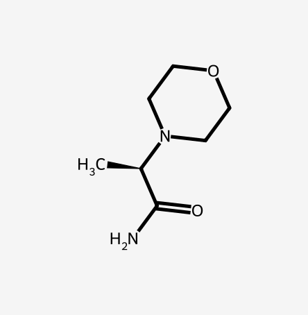 C[C@H](C(N)=O)N1CCOCC1